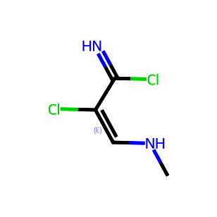 CN/C=C(/Cl)C(=N)Cl